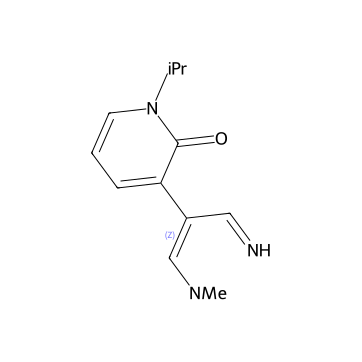 CN/C=C(\C=N)c1cccn(C(C)C)c1=O